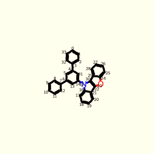 c1ccc(-c2cc(-c3ccccc3)cc(-n3c4ccccc4c4oc5ccccc5c43)c2)cc1